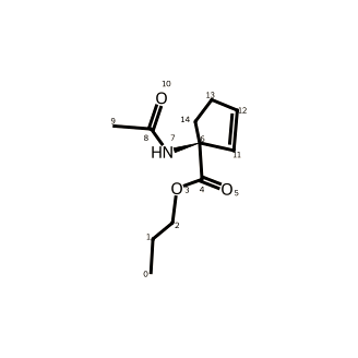 CCCOC(=O)[C@@]1(NC(C)=O)C=CCC1